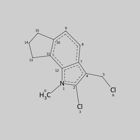 Cn1c(Cl)c(CCl)c2ccc3c(c21)CCC3